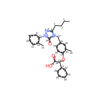 CCCCc1nn(-c2ccccc2C)c(=O)n1Cc1ccc(OC(C(=O)O)c2ccccc2)c(C)c1